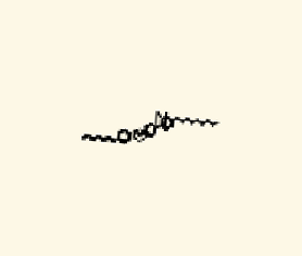 CCCCCCCCCc1ccc(-c2ccc(OC[C@H]3CC[C@H](CCCCCCC)CC3)cc2)nc1